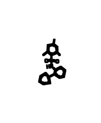 Cc1cc(C)c(S(=O)(=O)Nc2ccccc2-c2ccccc2)c(C)c1